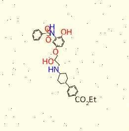 CCOC(=O)c1ccc(C2CCC(NC[C@H](O)COc3ccc(O)c(NS(=O)(=O)c4ccccc4)c3)CC2)cc1